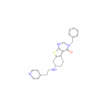 O=c1c2c3c(sc2ncn1Cc1ccccc1)CC(NCCc1ccncc1)CC3